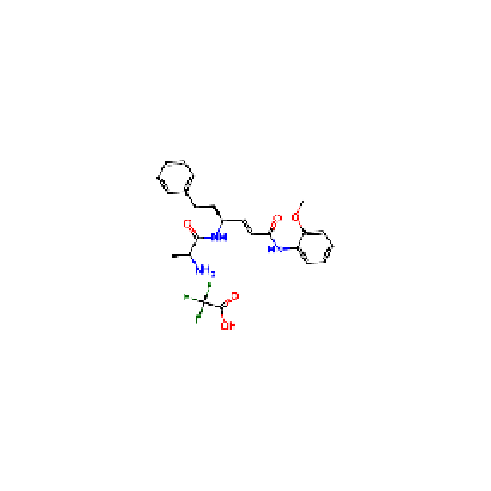 COc1ccccc1NC(=O)C=C[C@H](CCc1ccccc1)NC(=O)[C@H](C)N.O=C(O)C(F)(F)F